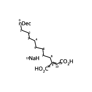 CCCCCCCCCCCCCCCCCC/C(=C\C(=O)O)C(=O)O.[NaH]